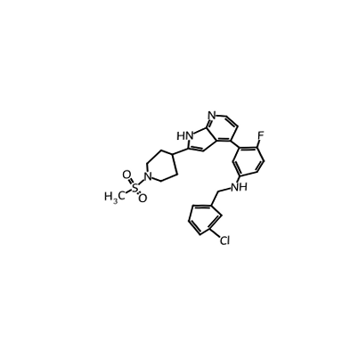 CS(=O)(=O)N1CCC(c2cc3c(-c4cc(NCc5cccc(Cl)c5)ccc4F)ccnc3[nH]2)CC1